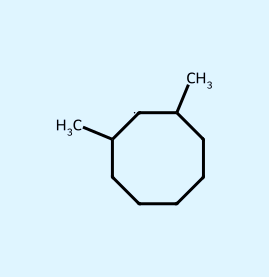 CC1[CH]C(C)CCCCC1